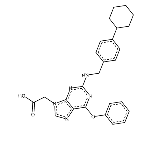 O=C(O)Cn1cnc2c(Oc3ccccc3)nc(NCc3ccc(C4CCCCC4)cc3)nc21